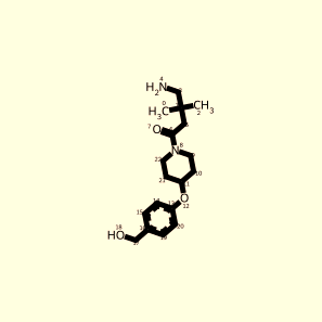 CC(C)(CN)CC(=O)N1CCC(Oc2ccc(CO)cc2)CC1